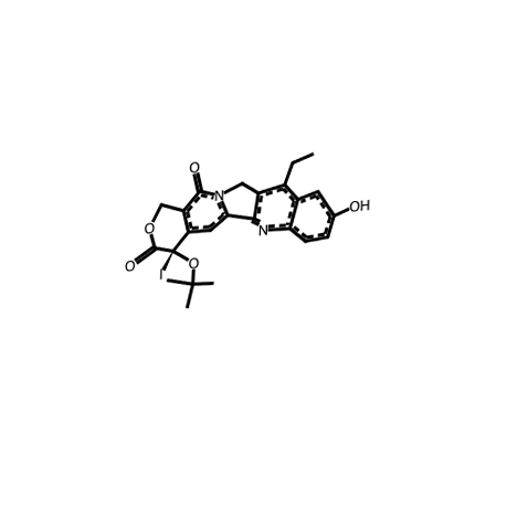 CCc1c2c(nc3ccc(O)cc13)-c1cc3c(c(=O)n1C2)COC(=O)[C@@]3(I)OC(C)(C)C